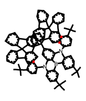 CC(C)(C)c1ccc(N2c3ccc(C(C)(C)C)cc3B3c4cc(C(C)(C)C)ccc4N(c4ccc(C(C)(C)C)cc4)c4cc(-c5c(-c6cccc7c6C6(c8ccccc8-c8ccccc86)c6ccccc6-7)cccc5-c5cccc6c5C5(c7ccccc7-c7ccccc75)c5ccccc5-6)cc2c43)cc1